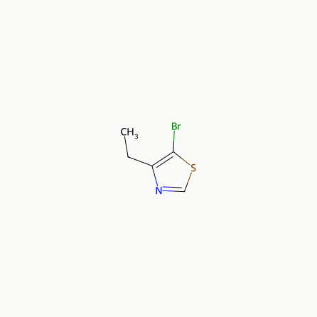 CCc1ncsc1Br